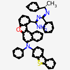 C[C@H](/N=C(\N=C(/N)c1cccc2oc3cc(N(c4ccccc4)c4ccc5c(c4)sc4ccccc45)c4ccccc4c3c12)c1ccccc1)c1ccccc1